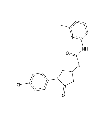 Cc1cccc(NC(=O)NC2CC(=O)N(c3ccc(Cl)cc3)C2)n1